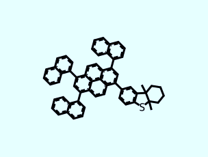 CC12CCCCC1(C)c1cc(-c3cc(-c4cccc5ccccc45)c4ccc5c(-c6cccc7ccccc67)cc(-c6cccc7ccccc67)c6ccc3c4c65)ccc1S2